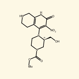 CC(C)(C)OC(=O)N1CCN(c2c3c([nH]c(=O)c2[N+](=O)[O-])CNCC3)[C@@H](CO)C1